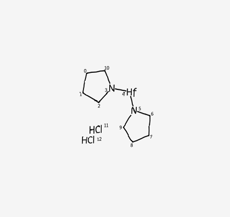 C1CC[N]([Hf][N]2CCCC2)C1.Cl.Cl